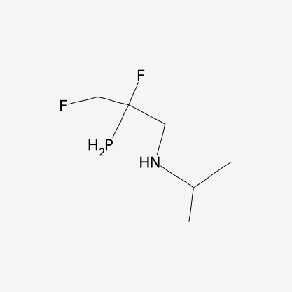 CC(C)NCC(F)(P)CF